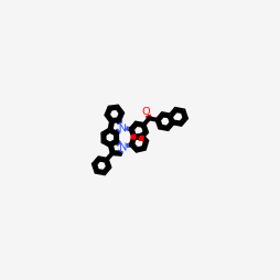 O=C(c1cccc(-n2c3ccccc3c3ccc4c(-c5ccccc5)cn(-c5ccccc5)c4c32)c1)c1ccc2ccccc2c1